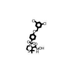 CC1(C)SCCN(S(=O)(=O)c2ccc(OCc3cc(Cl)cc(Cl)c3)cc2)C1C(=O)NO